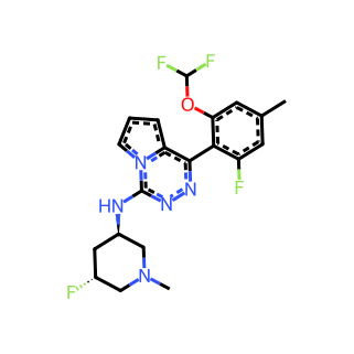 Cc1cc(F)c(-c2nnc(N[C@@H]3C[C@@H](F)CN(C)C3)n3cccc23)c(OC(F)F)c1